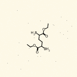 BC(CCC(B)C(=O)OCC)C(=O)OCC